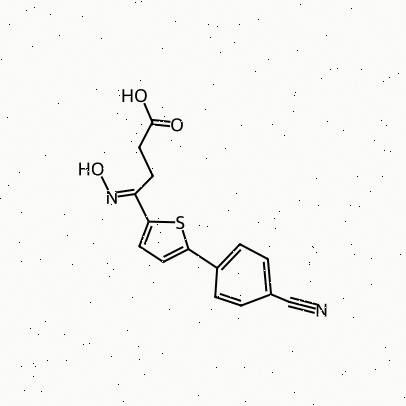 N#Cc1ccc(-c2ccc(C(CCC(=O)O)=NO)s2)cc1